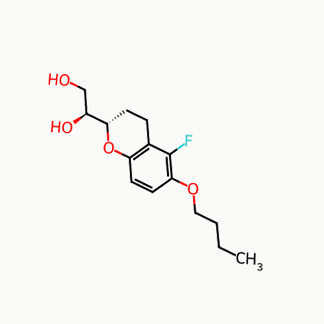 CCCCOc1ccc2c(c1F)CC[C@@H]([C@@H](O)CO)O2